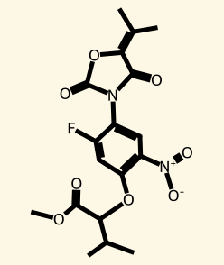 COC(=O)C(Oc1cc(F)c(N2C(=O)OC(=C(C)C)C2=O)cc1[N+](=O)[O-])C(C)C